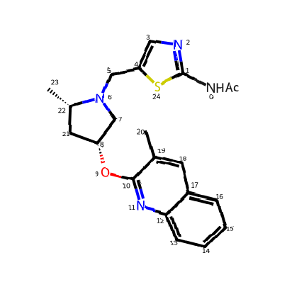 CC(=O)Nc1ncc(CN2C[C@H](Oc3nc4ccccc4cc3C)C[C@@H]2C)s1